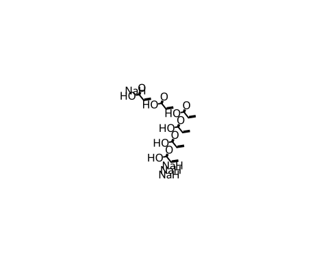 C=CC(=O)O.C=CC(=O)O.C=CC(=O)O.C=CC(=O)O.C=CC(=O)O.C=CC(=O)O.[NaH].[NaH].[NaH].[NaH]